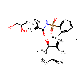 C=C(C)C(=O)NS(=O)(=O)c1ccccc1C.C=C(C)C(=O)OC.C=CC(=O)O.CC(O)CO